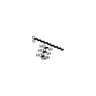 CCCCCCCCCCCCCCCCCC(=O)[O-].O=C(O)CS.O=C(O)CS.OCCO.[Na+]